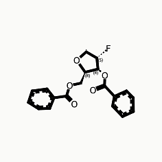 O=C(OC[C@H]1O[CH][C@H](F)[C@@H]1OC(=O)c1ccccc1)c1ccccc1